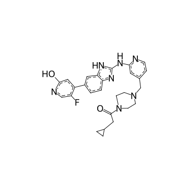 O=C(CC1CC1)N1CCN(Cc2ccnc(Nc3nc4ccc(-c5cc(O)ncc5F)cc4[nH]3)c2)CC1